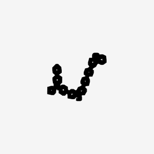 c1ccc(-c2ccc(N(c3ccccc3)c3ccc(-c4ccc5sc6ccc(-c7ccc(-c8ccc(-c9ccc%10oc%11ccccc%11c%10c9)cc8)cc7)cc6c5c4)cc3)cc2)cc1